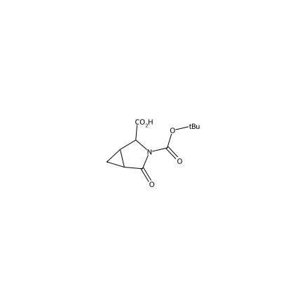 CC(C)(C)OC(=O)N1C(=O)C2CC2C1C(=O)O